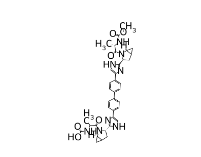 COC(=O)N[C@@H](C)C(=O)N1[C@@H]2CC2C[C@H]1c1nc(-c2ccc(-c3ccc(-c4c[nH]c([C@@H]5CC6C[C@H]6N5C(=O)[C@H](C)NC(=O)O)n4)cc3)cc2)c[nH]1